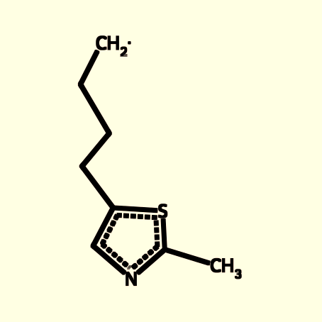 [CH2]CCCc1cnc(C)s1